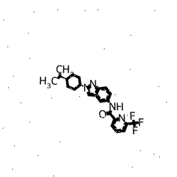 CC(C)[C@H]1CC[C@H](n2cc3cc(NC(=O)c4cccc(C(F)(F)F)n4)ccc3n2)CC1